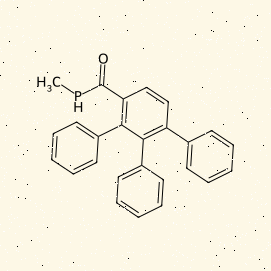 CPC(=O)c1ccc(-c2ccccc2)c(-c2ccccc2)c1-c1ccccc1